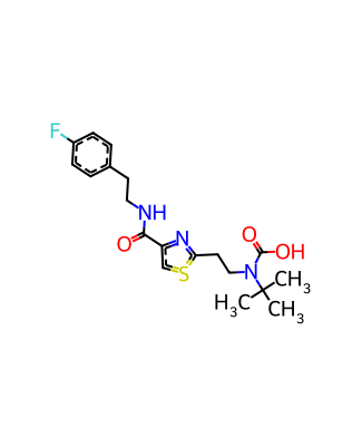 CC(C)(C)N(CCc1nc(C(=O)NCCc2ccc(F)cc2)cs1)C(=O)O